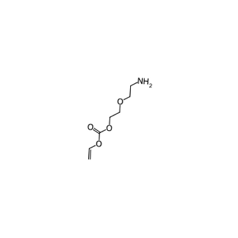 C=COC(=O)OCCOCCN